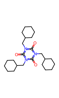 O=c1n(CC2CCCCC2)c(=O)n(CC2CCCCC2)c(=O)n1CC1CCCCC1